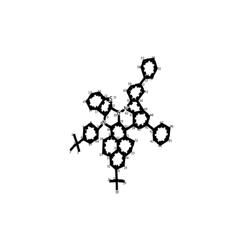 CC(C)(C)c1ccc(N2c3c(sc4ccccc34)B3c4c(c5ccc6cc(C(C)(C)C)cc7ccc(c42)c5c67)-c2cc(-c4ccccc4)cc4c5cc(-c6ccccc6)ccc5n3c24)cc1